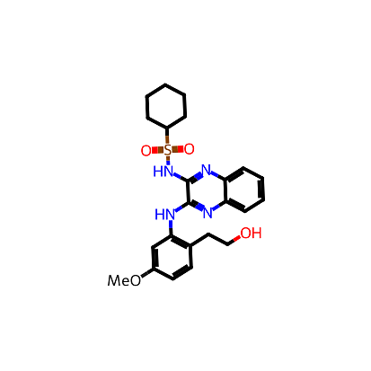 COc1ccc(CCO)c(Nc2nc3ccccc3nc2NS(=O)(=O)C2CCCCC2)c1